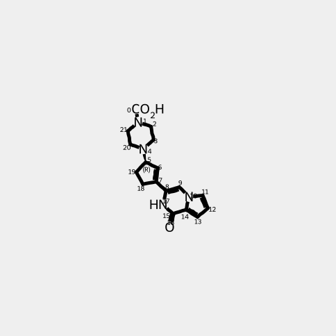 O=C(O)N1CCN([C@H]2C=C(c3cn4cccc4c(=O)[nH]3)CC2)CC1